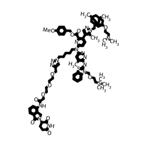 COc1ccc(COC(=O)c2nc(N(CCCCCn3cc(COCCOCCOCC(=O)Nc4cccc5c4CN(C4CCC(=O)NC4=O)C5=O)nn3)c3cc(C)c(/N=c4\sc5ccccc5n4COCC[Si](C)(C)C)nn3)ccc2-c2cnn(CC34CC5(C)CC(C)(C3)CC(OCCN(C)C)(C5)C4)c2C)cc1